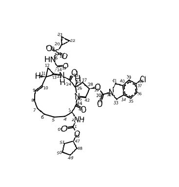 O=C(N[C@H]1CCCCC/C=C/[C@@H]2C[C@@]2(C(=O)NS(=O)(=O)C2CC2)NC(=O)[C@@H]2C[C@@H](OC(=O)N3Cc4ccc(Cl)cc4C3)CN2C1=O)OC1CCCC1